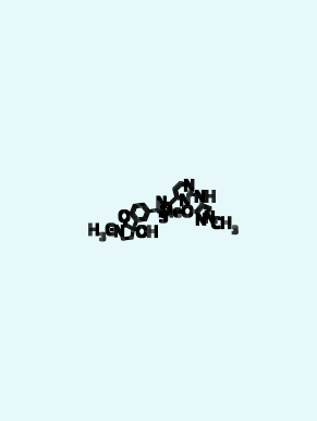 COc1nn(C)cc1Nc1nccc(-c2csc(-c3cccc([C@]4(O)CCN(C)C4=O)c3)n2)n1